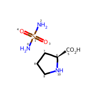 NS(N)(=O)=O.O=C(O)[C@@H]1CCCN1